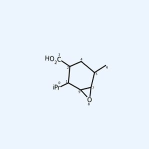 CC(C)C1C(C(=O)O)CC(C)C2OC21